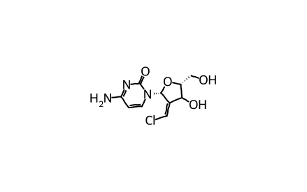 Nc1ccn([C@@H]2O[C@H](CO)C(O)/C2=C/Cl)c(=O)n1